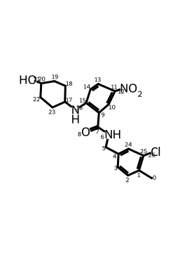 Cc1ccc(CNC(=O)c2cc([N+](=O)[O-])ccc2NC2CCC(O)CC2)cc1Cl